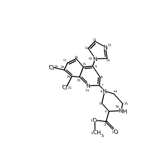 COC(=O)C1CN(c2cc(-n3ccnc3)c3ccc(Cl)c(Cl)c3n2)CCN1